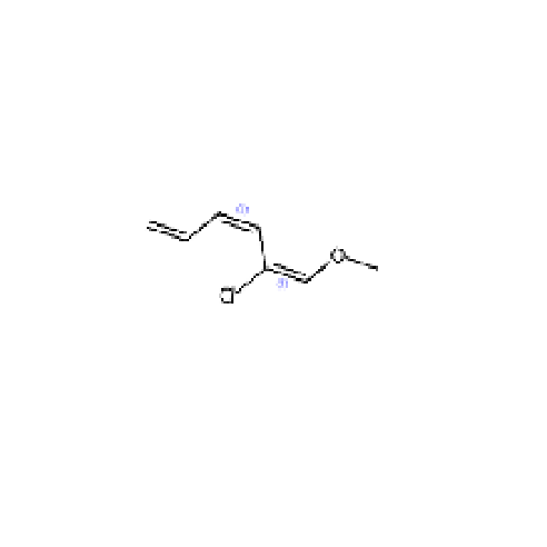 C=C/C=C\C(Cl)=C/OC